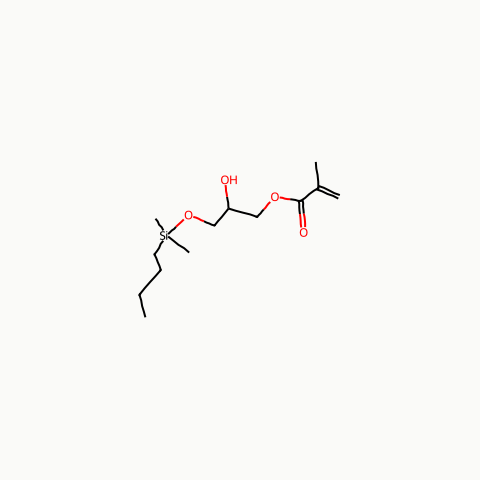 C=C(C)C(=O)OCC(O)CO[Si](C)(C)CCCC